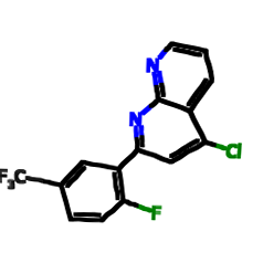 Fc1ccc(C(F)(F)F)cc1-c1cc(Cl)c2cccnc2n1